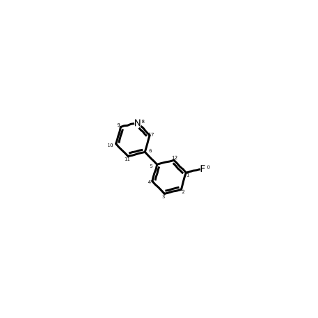 Fc1cccc(-c2[c]nccc2)c1